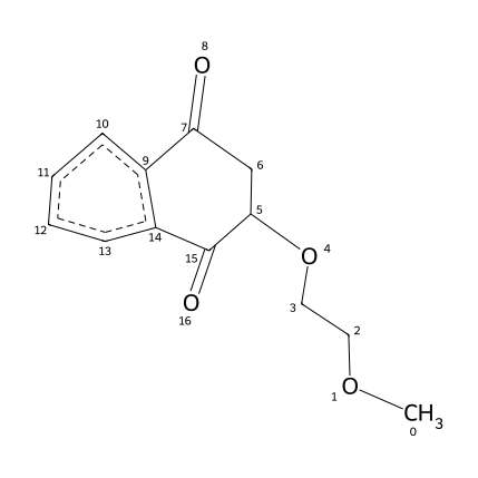 COCCOC1CC(=O)c2ccccc2C1=O